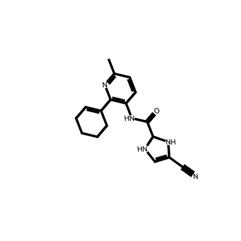 Cc1ccc(NC(=O)C2NC=C(C#N)N2)c(C2=CCCCC2)n1